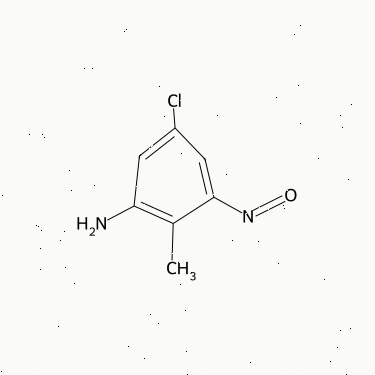 Cc1c(N)cc(Cl)cc1N=O